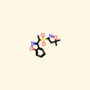 CC(c1noc2ccccc12)S(=O)(=O)C1=NOC(C)(C)C1